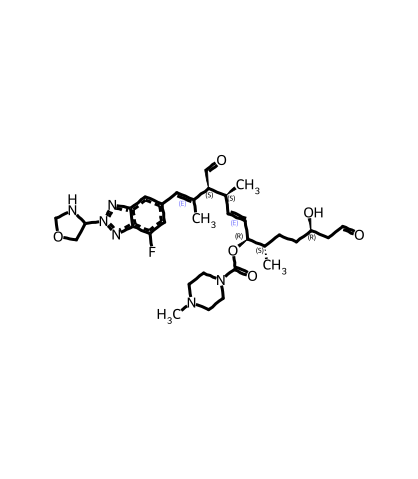 C/C(=C\c1cc(F)c2nn(C3COCN3)nc2c1)[C@@H](C=O)[C@@H](C)/C=C/[C@H](OC(=O)N1CCN(C)CC1)[C@@H](C)CC[C@@H](O)CC=O